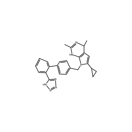 CC1=NC(C)c2cc(C3CC3)n(Cc3ccc(-c4ccccc4-c4nnn[nH]4)cc3)c2N1